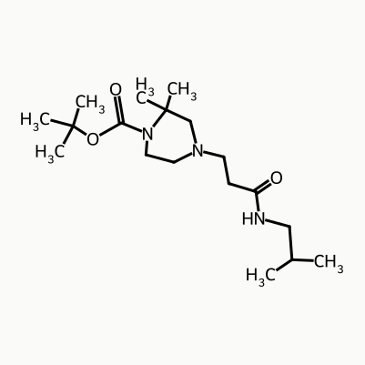 CC(C)CNC(=O)CCN1CCN(C(=O)OC(C)(C)C)C(C)(C)C1